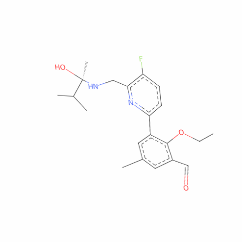 CCOc1c(C=O)cc(C)cc1-c1ccc(F)c(CN[C@](C)(O)C(C)C)n1